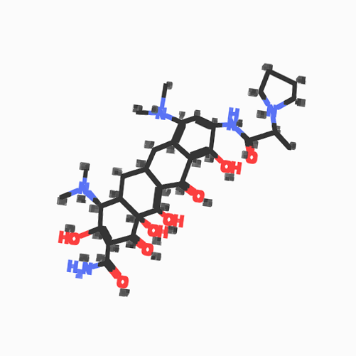 CC(C(=O)Nc1cc(N(C)C)c2c(c1O)C(=O)C1=C(O)[C@]3(O)C(=O)C(C(N)=O)=C(O)[C@@H](N(C)C)C3CC1C2)N1CCCC1